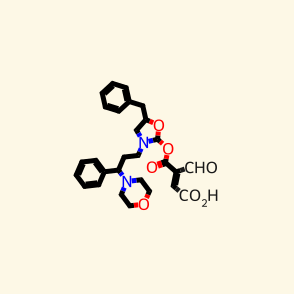 O=C/C(=C\C(=O)O)C(=O)OC1OC(Cc2ccccc2)CN1CCC(c1ccccc1)N1CCOCC1